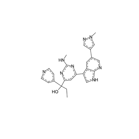 CCC(O)(c1ccncc1)c1cc(-c2c[nH]c3ncc(-c4cnn(C)c4)cc23)nc(NC)n1